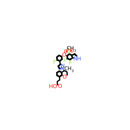 CC1(n2ccc(-c3cc(Oc4c(F)c(F)c5[nH]ccc5c4S(C)(=O)=O)ccc3F)n2)CCOc2c(CCC(=O)O)cccc21